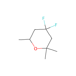 CC1CC(F)(F)CC(C)(C)O1